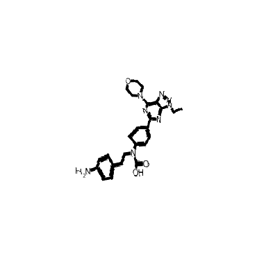 CCn1nnc2c(N3CCOCC3)nc(-c3ccc(N(CCc4ccc(N)cc4)C(=O)O)cc3)nc21